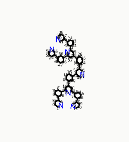 c1cncc(-c2cccc(-c3cc(-c4cccc(-c5cncc(-c6cccc(-c7cc(-c8cccc(-c9cccnc9)c8)nc(-c8cccc(-c9cccnc9)c8)c7)c6)c5)c4)cc(-c4cccc(-c5cccnc5)c4)n3)c2)c1